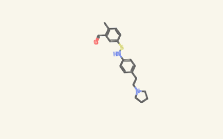 Cc1ccc(SNc2ccc(CCN3CCCC3)cc2)cc1C=O